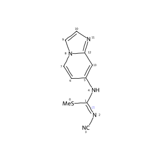 CS/C(=N\C#N)Nc1ccn2ccnc2c1